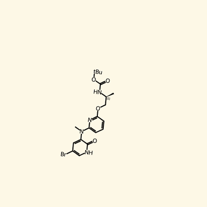 C[C@@H](COc1cccc(N(C)c2cc(Br)c[nH]c2=O)n1)NC(=O)OC(C)(C)C